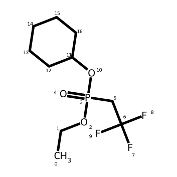 CCOP(=O)(CC(F)(F)F)OC1CCCCC1